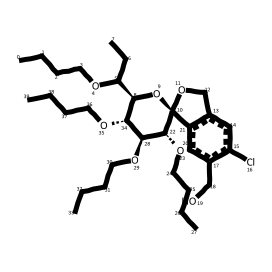 CCCCOC(CC)[C@H]1O[C@]2(OCc3cc(Cl)c(CO)cc32)[C@H](OCCCC)[C@@H](OCCCC)[C@@H]1OCCCC